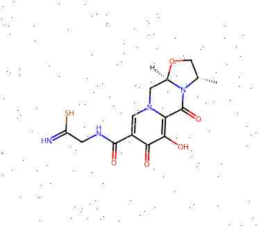 C[C@H]1CO[C@@H]2Cn3cc(C(=O)NCC(=N)S)c(=O)c(O)c3C(=O)N12